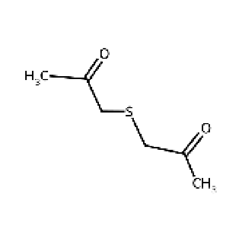 CC(=O)CSCC(C)=O